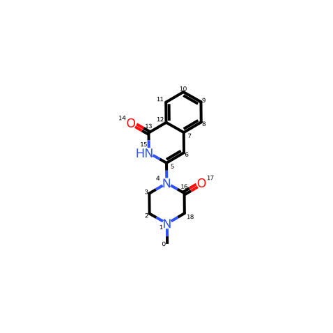 CN1CCN(c2cc3ccccc3c(=O)[nH]2)C(=O)C1